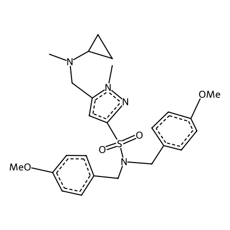 COc1ccc(CN(Cc2ccc(OC)cc2)S(=O)(=O)c2cc(CN(C)C3CC3)n(C)n2)cc1